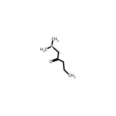 CCCC(=O)[CH]N(C)C